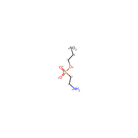 NCCS(=O)(=O)OCC[N+](=O)[O-]